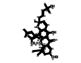 CC(C)=CCc1c2c(c(O)c3c1O[C@]14C(=C[C@@H](C=O)CC1C(C)(C)O[C@H]4C/C=C(/C)C(=O)O)C3=O)C=C[C@@](C)(C/C=C/C(C)(C)O)O2